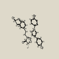 C[C@H]1O[C@@H](c2nn(-c3ccc(Br)cc3)cc2-c2ccc(F)cc2)N(CCc2ccc3c(c2)=CC(=O)N=3)C1=O